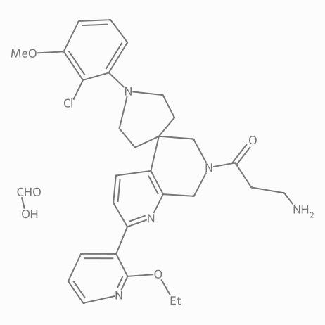 CCOc1ncccc1-c1ccc2c(n1)CN(C(=O)CCN)CC21CCN(c2cccc(OC)c2Cl)CC1.O=CO